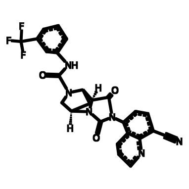 N#Cc1ccc(N2C(=O)[C@@H]3C4C[C@H](CN4C(=O)Nc4cccc(C(F)(F)F)c4)N3C2=O)c2cccnc12